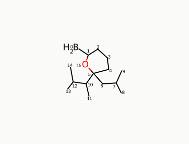 BC1CCCC(CC(C)C)(C(C)C(C)C)O1